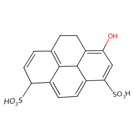 O=S(=O)(O)C1=CC(O)=C2CCC3=C4C(=CC=C1C24)C(S(=O)(=O)O)C=C3